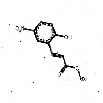 CC(C)(C)OC(=O)/C=C/c1cc([N+](=O)[O-])ccc1O